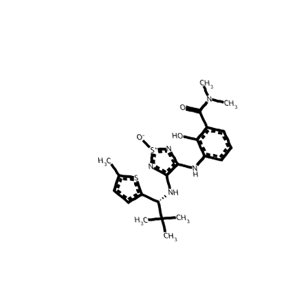 Cc1ccc([C@H](Nc2n[s+]([O-])nc2Nc2cccc(C(=O)N(C)C)c2O)C(C)(C)C)s1